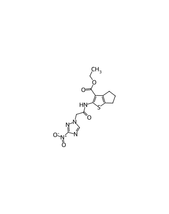 CCOC(=O)c1c(NC(=O)Cn2cnc([N+](=O)[O-])n2)sc2c1CCC2